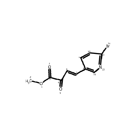 COC(=O)C(=O)/C=C/c1ccc(Br)nc1